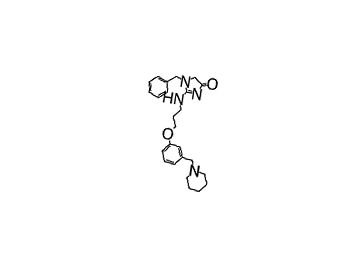 O=C1CN(Cc2ccccc2)C(NCCCOc2cccc(CN3CCCCC3)c2)=N1